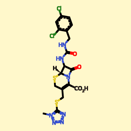 Cn1nnnc1SCC1=C(C(=O)O)N2C(=O)C(NC(=O)NCc3ccc(Cl)cc3Cl)[C@@H]2SC1